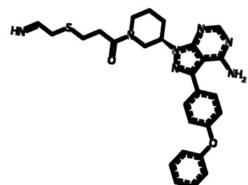 N=CCSCCC(=O)N1CCC[C@@H](n2nc(-c3ccc(Oc4ccccc4)cc3)c3c(N)ncnc32)C1